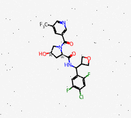 O=C(NC(c1cc(F)c(Cl)cc1F)C1COC1)[C@H]1C[C@@H](O)CN1C(=O)c1cncc(C(F)(F)F)c1